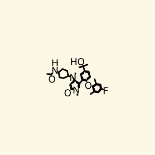 CC(=O)NC1CCC(N(C)c2cc(=O)n(C)cc2-c2cc(C(C)(C)O)ccc2Oc2c(C)cc(F)cc2C)CC1